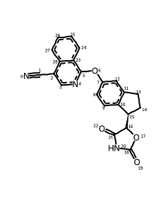 N#Cc1cnc(Oc2ccc3c(c2)CC[C@H]3C2OC(=O)NC2=O)c2ccccc12